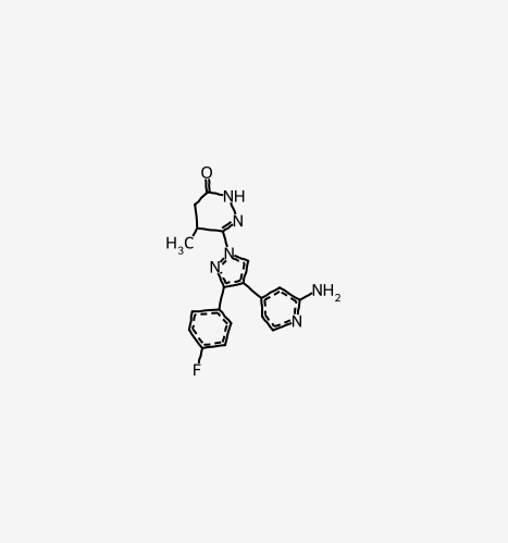 CC1CC(=O)NN=C1n1cc(-c2ccnc(N)c2)c(-c2ccc(F)cc2)n1